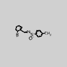 Cc1ccc([S+]([O-])N=Cc2ccccc2Br)cc1